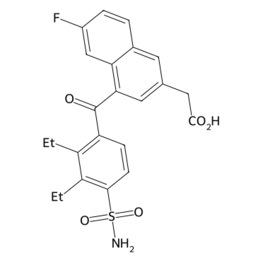 CCc1c(C(=O)c2cc(CC(=O)O)cc3ccc(F)cc23)ccc(S(N)(=O)=O)c1CC